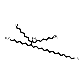 CCCCCCCCCCCCCCCCC(CCCCCCCC)C(P)(CCCCCCCC)CCCCCCCC